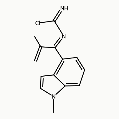 C=C(C)/C(=N\C(=N)Cl)c1cccc2c1ccn2C